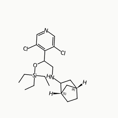 CC[Si](CC)(CC)OC(CNC1C[C@@H]2CC[C@H]1C2)c1c(Cl)cncc1Cl